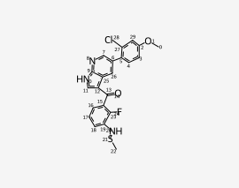 COc1ccc(-c2cnc3[nH]cc(C(=O)c4cccc(NSC)c4F)c3c2)c(Cl)c1